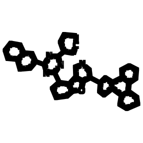 c1ccc(-c2nc(-c3ccc4ccccc4c3)nc(-c3cccc4oc5c(-c6ccc7c8ccccc8c8ccccc8c7c6)cncc5c34)n2)cc1